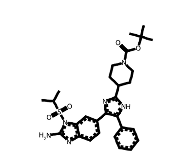 CC(C)S(=O)(=O)n1c(N)nc2ccc(-c3nc(C4CCN(C(=O)OC(C)(C)C)CC4)[nH]c3-c3ccccc3)cc21